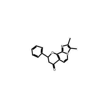 Cc1nc2c3c(ccn2c1C)C(=O)CC(c1ccccc1)O3